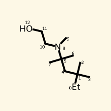 CCC(C)(C)CC(C)(C)N(C)CCO